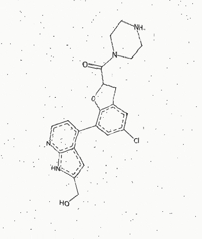 O=C(C1Cc2cc(Cl)cc(-c3ccnc4[nH]c(CO)cc34)c2O1)N1CCNCC1